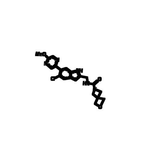 COc1cnc(-c2cc3[nH]c(CNC(=O)N4CC5(COC5)C4)cc3cc2Cl)cn1